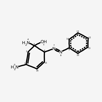 NC1=CC(N)(O)C(N=Nc2ccccc2)C=C1